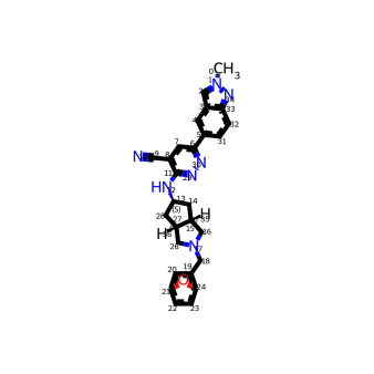 Cn1cc2cc(-c3cc(C#N)c(N[C@H]4C[C@@H]5CN(Cc6cc7ccc6o7)C[C@@H]5C4)nn3)ccc2n1